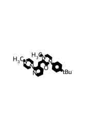 CN1CCN(c2ncccc2CC2C(=O)N(c3ccc(C(C)(C)C)cc3)CCN2C)CC1